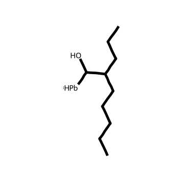 CCCCCC(CCC)[CH](O)[PbH]